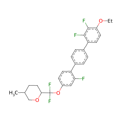 CCOc1ccc(-c2ccc(-c3ccc(OC(F)(F)C4CCC(C)CO4)cc3F)cc2)c(F)c1F